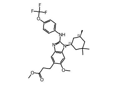 COC(=O)CCc1cc2nc(Nc3ccc(OC(F)(F)F)cc3)n([C@H]3C[C@@H](C)CC(C)(C)C3)c2cc1OC